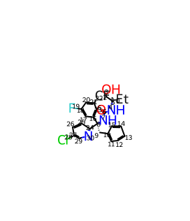 CC[C@H](CO)NC(=O)N[C@](Cc1ccccc1)(c1cc(F)cc(C(F)(F)F)c1)c1ccc(Cl)cn1